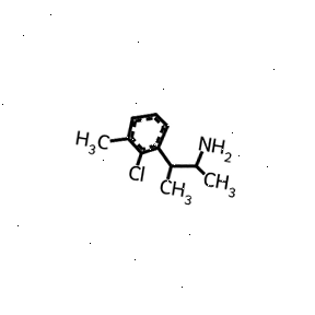 Cc1cccc(C(C)C(C)N)c1Cl